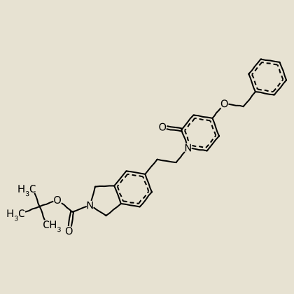 CC(C)(C)OC(=O)N1Cc2ccc(CCn3ccc(OCc4ccccc4)cc3=O)cc2C1